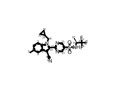 Cc1ccc2c(c1)c(C#N)c(-c1ncc(S(=O)(=O)N[C@@H](C)C(F)(F)F)cn1)n2CC1CC1